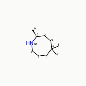 C[C@H]1CCC(C)(C)CCCN1